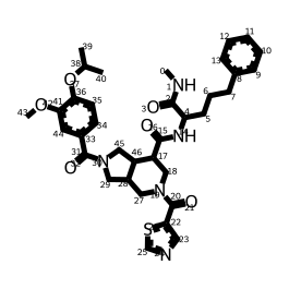 CNC(=O)C(CCCc1ccccc1)NC(=O)C1CN(C(=O)c2cncs2)CC2CN(C(=O)c3ccc(OC(C)C)c(OC)c3)CC21